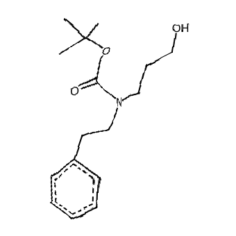 CC(C)(C)OC(=O)N(CCCO)CCc1ccccc1